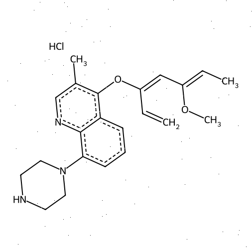 C=C/C(=C\C(=C\C)OC)Oc1c(C)cnc2c(N3CCNCC3)cccc12.Cl